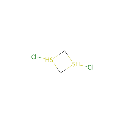 Cl[SH]1C[SH](Cl)C1